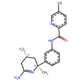 C[C@@]1(c2cccc(NC(=O)c3ccc(C#N)cn3)c2)C[C@@H](C(F)(F)F)CC(N)=N1